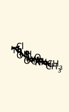 CN(C)C1CCN(c2ccc3c(=O)n(CC4(O)CCN(C(=O)[C@H](CCCNC(=O)c5ccc6c(Cl)cc(C7CC7)nc6c5)Cc5ccccc5)CC4)cnc3c2)CC1